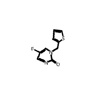 O=c1ncc(F)cn1Cc1cccs1